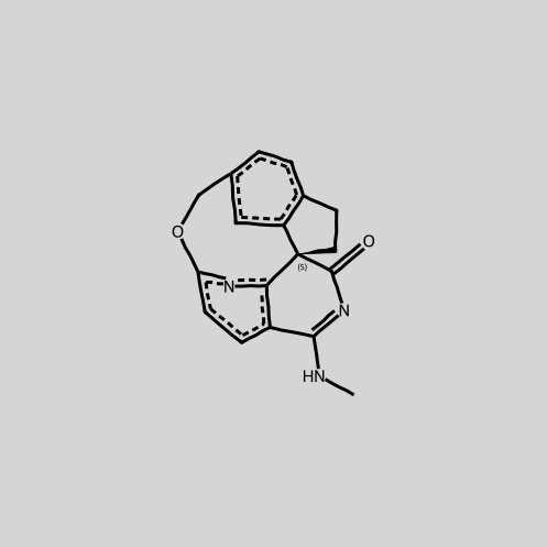 CNC1=NC(=O)[C@@]23CCc4ccc(cc42)COc2ccc1c3n2